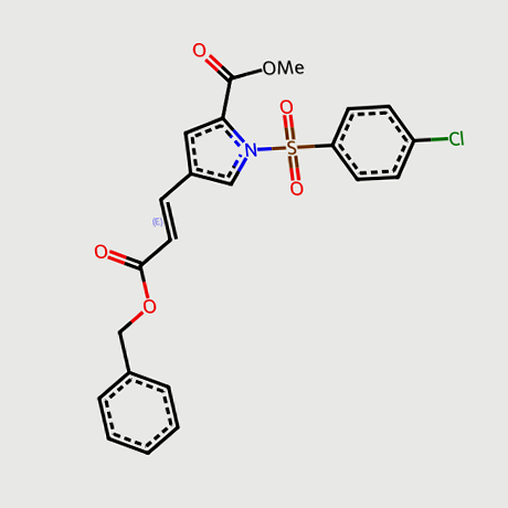 COC(=O)c1cc(/C=C/C(=O)OCc2ccccc2)cn1S(=O)(=O)c1ccc(Cl)cc1